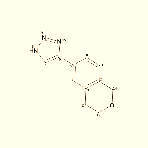 c1cc2c(cc1-c1c[nH]nn1)CCOC2